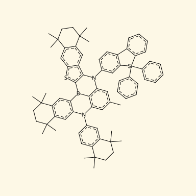 Cc1cc2c3c(c1)N(c1ccc4c(c1)[Si](c1ccccc1)(c1ccccc1)c1ccccc1-4)c1c(sc4cc5c(cc14)C(C)(C)CCC5(C)C)B3c1cc3c(cc1N2c1ccc2c(c1)C(C)(C)CCC2(C)C)C(C)(C)CCC3(C)C